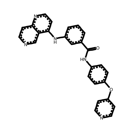 O=C(Nc1ccc(Oc2ccncc2)cc1)c1cccc(Nc2ccnc3ccncc23)c1